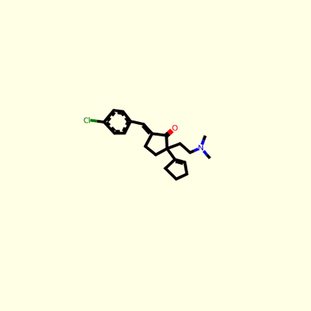 CN(C)CCC1(C2=CCCC2)CCC(=Cc2ccc(Cl)cc2)C1=O